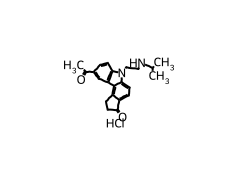 CC(=O)c1ccc2c(c1)c1c3c(ccc1n2CCNC(C)C)C(=O)CC3.Cl